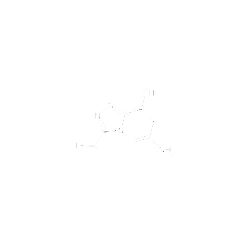 Cc1cc(N)cn2c(CF)nnc12